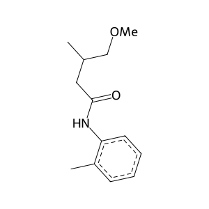 COCC(C)CC(=O)Nc1ccccc1C